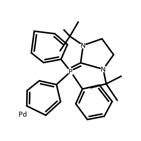 CC(C)(C)N1CCN(C(C)(C)C)C1=P(c1ccccc1)(c1ccccc1)c1ccccc1.[Pd]